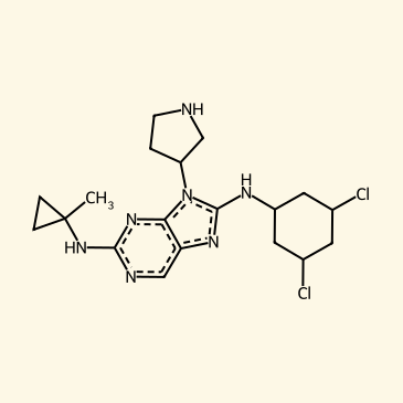 CC1(Nc2ncc3nc(NC4CC(Cl)CC(Cl)C4)n(C4CCNC4)c3n2)CC1